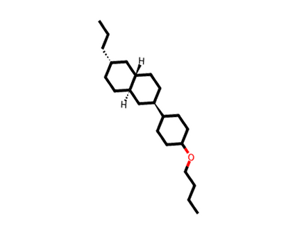 CCCCOC1CCC([C@@H]2CC[C@H]3C[C@@H](CCC)CC[C@@H]3C2)CC1